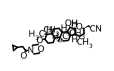 C[C@@H]1C[C@H](CC#N)O[C@H]2[C@H]1[C@@]1(C)CC[C@@]34C[C@@]35CCC(O[C@H]3CN(C(=O)CC6CC6)CCO3)C(C)(C)[C@@H]5CC[C@H]4[C@]1(C)[C@H]2O